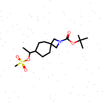 CC(OS(C)(=O)=O)C1CCC2(CC1)CN(C(=O)OC(C)(C)C)C2